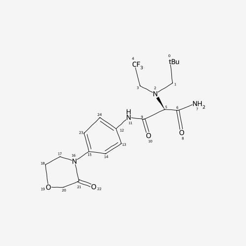 CC(C)(C)CN(CC(F)(F)F)[C@@H](C(N)=O)C(=O)Nc1ccc(N2CCOCC2=O)cc1